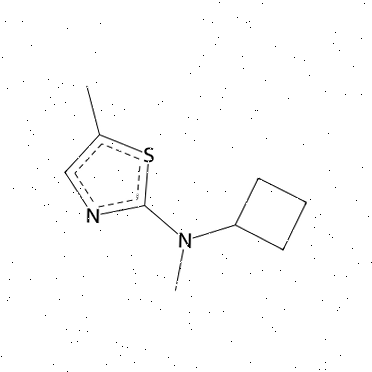 Cc1cnc(N(C)C2CCC2)s1